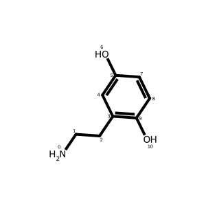 NCCc1cc(O)ccc1O